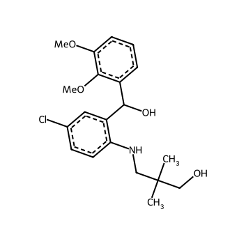 COc1cccc(C(O)c2cc(Cl)ccc2NCC(C)(C)CO)c1OC